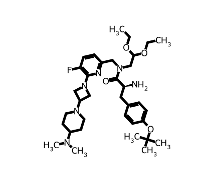 CCOC(CN(Cc1ccc(F)c(N2CC(N3CCC(N(C)C)CC3)C2)n1)C(=O)[C@@H](N)Cc1ccc(OC(C)(C)C)cc1)OCC